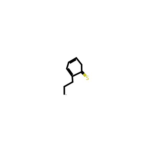 [CH2]CCC1=CC=CCC1=S